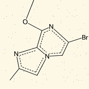 COc1nc(Br)cn2cc(C)nc12